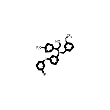 CC(C)c1cccc(Oc2cccc(N(Cc3cccc(SC(F)(F)F)c3)C(CO)c3ccc(C(F)(F)F)cc3)c2)c1